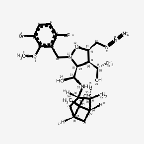 COc1c(Br)ccc(F)c1CN1O[C@@H](CN=[N+]=[N-])[C@@H]([C@H](C)O)[C@H]1C(O)N[C@H]1C[C@H]2C[C@@H]([C@@H]1C)C2(C)C